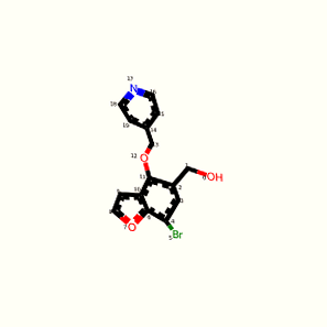 OCc1cc(Br)c2occc2c1OCc1ccncc1